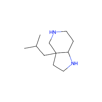 CC(C)CC12CCNC1CCNC2